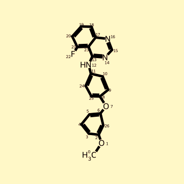 COc1cccc(Oc2ccc(Nc3ncnc4cccc(F)c34)cc2)c1